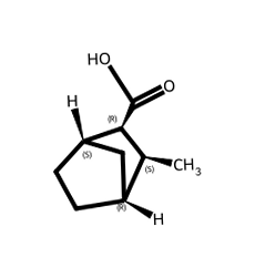 C[C@H]1[C@@H]2CC[C@@H](C2)[C@H]1C(=O)O